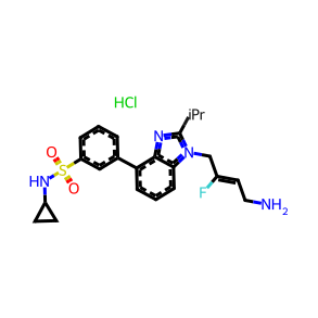 CC(C)c1nc2c(-c3cccc(S(=O)(=O)NC4CC4)c3)cccc2n1C/C(F)=C/CN.Cl